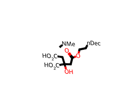 CCCCCCCCCCCCOC(=O)CC(O)(CC(=O)O)C(=O)O.CNC